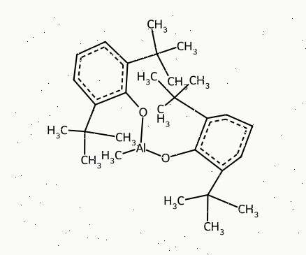 [CH3][Al]([O]c1c(C(C)(C)C)cccc1C(C)(C)C)[O]c1c(C(C)(C)C)cccc1C(C)(C)C